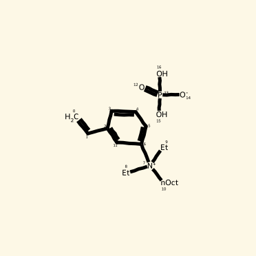 C=Cc1cccc([N+](CC)(CC)CCCCCCCC)c1.O=P([O-])(O)O